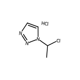 CC(Cl)n1ccnn1.Cl